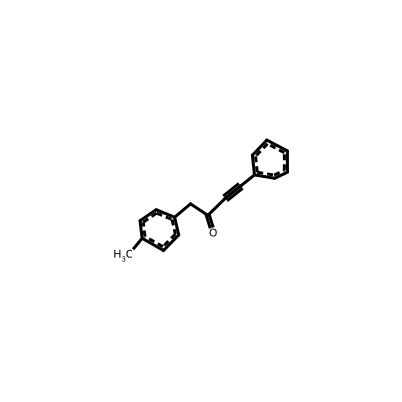 Cc1ccc(CC(=O)C#Cc2ccccc2)cc1